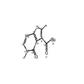 Cc1oc2ncn(C)c(=O)c2c1C(=O)C(C)(C)C